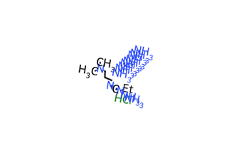 CCN=C=NCCCN(C)C.Cl.N.N.N.N.N.N.N.N.N.N.N